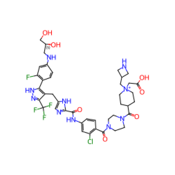 O=C(O)C[N+]1(CC2CNC2)CCC(C(=O)N2CCN(C(=O)c3ccc(NC(=O)c4ncc(Cc5c(C(F)(F)F)n[nH]c5-c5ccc(NC[C@H](O)CO)cc5F)[nH]4)cc3Cl)CC2)CC1